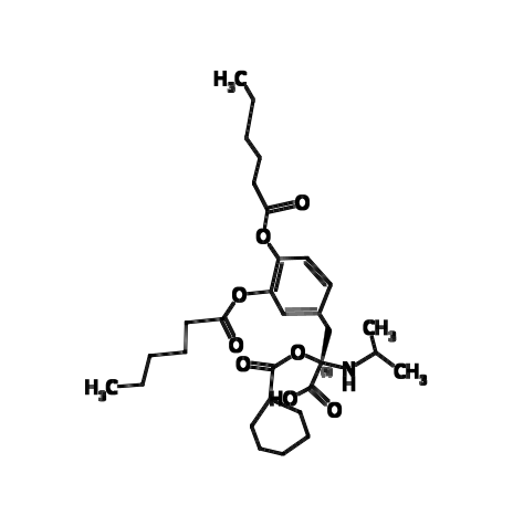 CCCCCC(=O)Oc1ccc(C[C@](NC(C)C)(OC(=O)C2CCCCC2)C(=O)O)cc1OC(=O)CCCCC